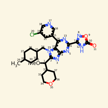 COC(c1nc2nc(-c3noc(=O)[nH]3)nc(-c3cncc(Cl)c3)c2n1CC1CCC(C)CC1)C1CCOCC1